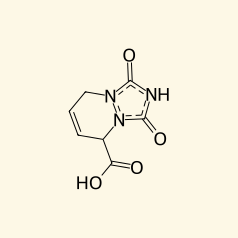 O=C(O)C1C=CCn2c(=O)[nH]c(=O)n21